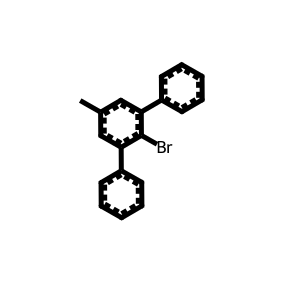 Cc1cc(-c2ccccc2)c(Br)c(-c2ccccc2)c1